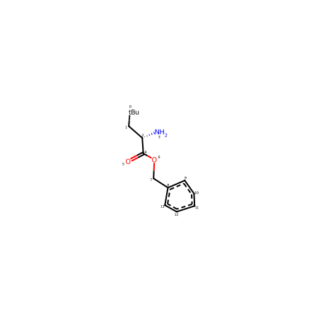 CC(C)(C)C[C@H](N)C(=O)OCc1ccccc1